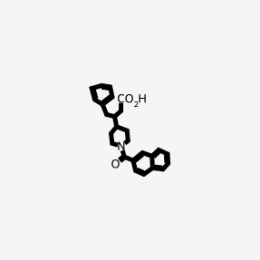 O=C(O)CC(Cc1ccccc1)C1CCN(C(=O)c2ccc3ccccc3c2)CC1